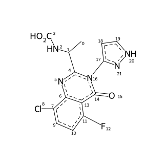 CC(NC(=O)O)c1nc2c(Cl)ccc(F)c2c(=O)n1-c1cc[nH]n1